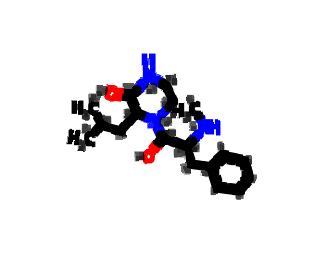 CN[C@@H](Cc1ccccc1)C(=O)N1CCNC(=O)C1CC(C)C